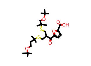 CC(C)(C)OCCC(C)(C)SCC(CSC(C)(C)COC(C)(C)C)C(=O)c1ccc(C(=O)O)o1